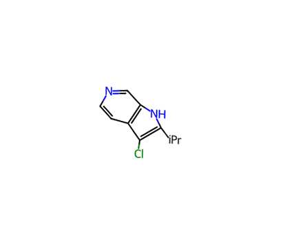 CC(C)c1[nH]c2cnccc2c1Cl